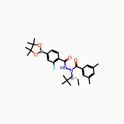 CC[C@@H](N(NC(=O)c1ccc(B2OC(C)(C)C(C)(C)O2)cc1F)C(=O)c1cc(C)cc(C)c1)C(C)(C)C